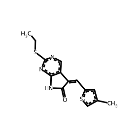 CCSc1ncc2c(n1)NC(=O)C2=Cc1cc(C)cs1